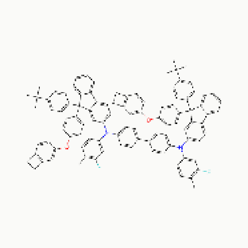 Cc1ccc(N(c2ccc(-c3ccc(N(c4ccc(C)c(F)c4)c4ccc5c(c4)C(c4ccc(Oc6ccc7c(c6)CC7)cc4)(c4ccc(C(C)(C)C)cc4)c4ccccc4-5)cc3)cc2)c2ccc3c(c2)C(c2ccc(Oc4ccc5c(c4)CC5)cc2)(c2ccc(C(C)(C)C)cc2)c2ccccc2-3)cc1F